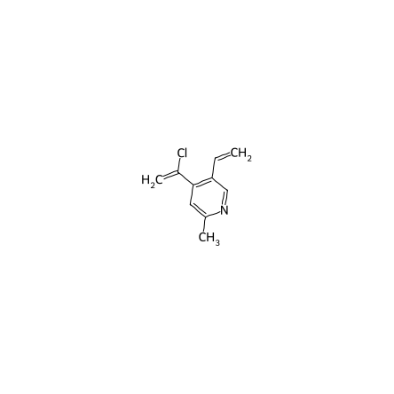 C=Cc1cnc(C)cc1C(=C)Cl